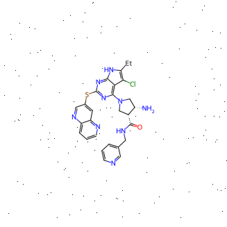 CCc1[nH]c2nc(Sc3cnc4cccnc4c3)nc(N3C[C@H](N)[C@H](C(=O)NCc4cccnc4)C3)c2c1Cl